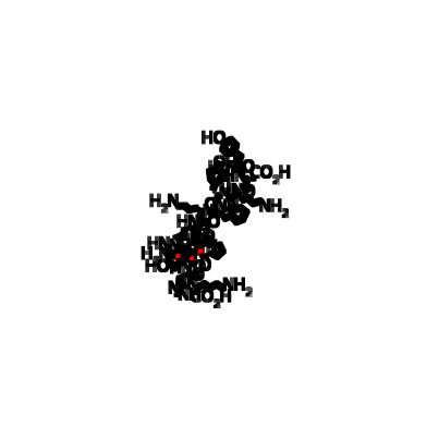 N=C(N)NCCC[C@@H](NC(=O)[C@@H](CCCCN)NC(=O)[C@H](Cc1ccccc1)NC(=O)[C@H](Cc1ccc(O)cc1)NC(=O)[C@@H](CCCCN)NC(=O)[C@H](CC(=O)O)NC(=O)[C@@H](N)Cc1ccc(O)cc1)C(=O)N[C@@H](Cc1ccccc1)C(=O)N1CCC[C@H]1C(=O)N[C@H](Cc1ccc(O)cc1)C(=O)N[C@@H](Cc1c[nH]cn1)C(=O)N[C@@H](CCCCN)C(=O)O